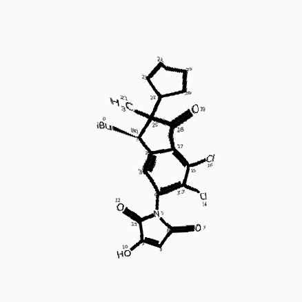 CCC(C)[C@@H]1c2cc(N3C(=O)C=C(O)C3=O)c(Cl)c(Cl)c2C(=O)C1(C)C1CCCC1